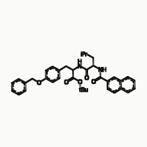 CC(C)CC(NC(=O)c1ccc2ccccc2c1)C(=O)NC(Cc1ccc(OCc2ccccc2)cc1)C(=O)OC(C)(C)C